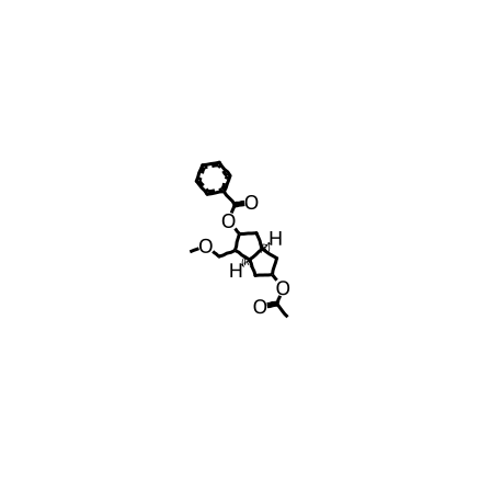 COCC1C(OC(=O)c2ccccc2)C[C@H]2CC(OC(C)=O)C[C@@H]12